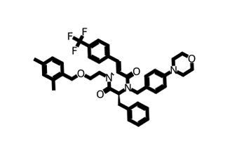 Cc1ccc(COCCN(C)C(=O)[C@H](Cc2ccccc2)N(Cc2ccc(N3CCOCC3)cc2)C(=O)/C=C/c2ccc(C(F)(F)F)cc2)c(C)c1